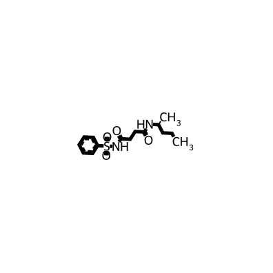 CCC[C@@H](C)NC(=O)CCC(=O)NS(=O)(=O)c1ccccc1